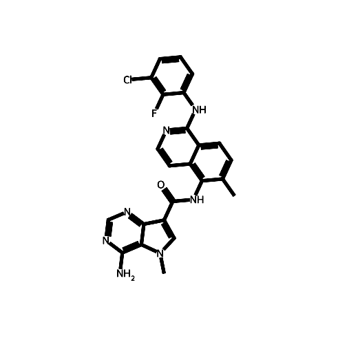 Cc1ccc2c(Nc3cccc(Cl)c3F)nccc2c1NC(=O)c1cn(C)c2c(N)ncnc12